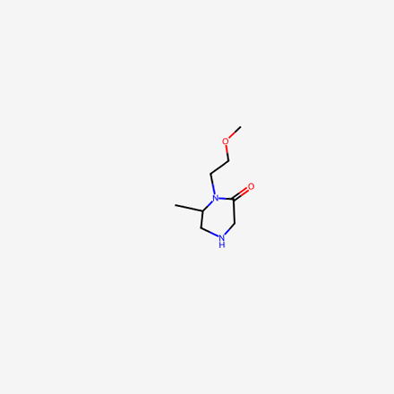 COCCN1C(=O)CNCC1C